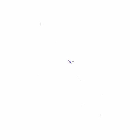 O=C1NC(=O)C2(N1)c1cc(Br)ccc1CC21CCC(OC(F)F)CC1